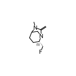 C=C1N(C)C2CC[C@@H](CF)N1C2